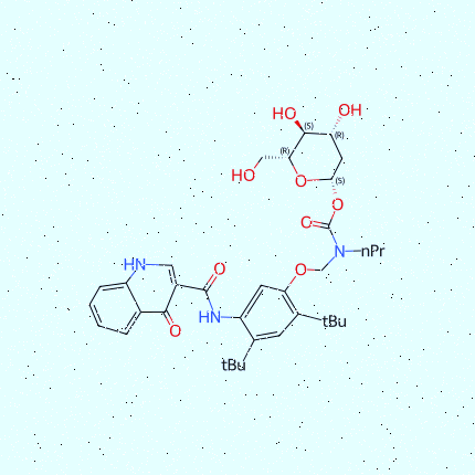 CCCN(COc1cc(NC(=O)c2c[nH]c3ccccc3c2=O)c(C(C)(C)C)cc1C(C)(C)C)C(=O)O[C@H]1C[C@@H](O)[C@H](O)[C@@H](CO)O1